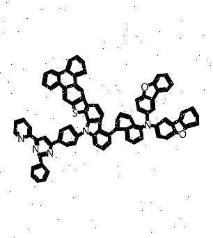 c1ccc(-c2nc(-c3ccc(-n4c5cccc(-c6cccc7c(N(c8ccc9oc%10ccccc%10c9c8)c8ccc9oc%10ccccc%10c9c8)cccc67)c5c5ccc6c7cc8c9ccccc9c9ccccc9c8cc7sc6c54)cc3)cc(-c3ccccn3)n2)cc1